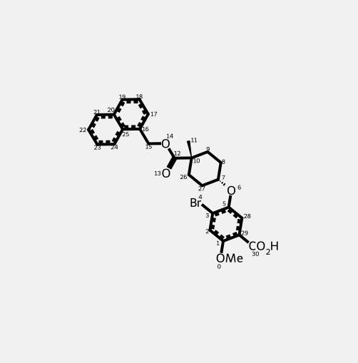 COc1cc(Br)c(O[C@H]2CC[C@@](C)(C(=O)OCc3cccc4ccccc34)CC2)cc1C(=O)O